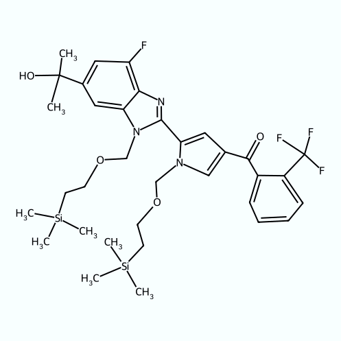 CC(C)(O)c1cc(F)c2nc(-c3cc(C(=O)c4ccccc4C(F)(F)F)cn3COCC[Si](C)(C)C)n(COCC[Si](C)(C)C)c2c1